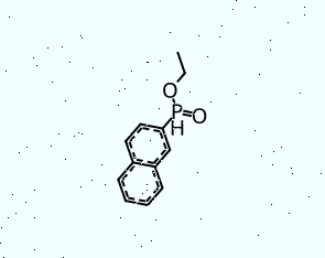 CCO[PH](=O)c1ccc2ccccc2c1